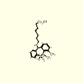 CCOC(=O)CCCCCCNC1c2ccccc2S(=O)(=O)N(C)c2c(C)cccc21